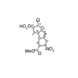 COC(=O)c1cc2c(cc1[N+](=O)[O-])sc1cc(Cl)c(C(=O)O)cc12